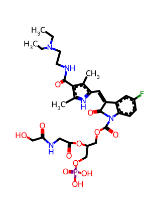 CCN(CC)CCNC(=O)c1c(C)[nH]c(/C=C2\C(=O)N(C(=O)OCC(COP(=O)(O)O)OC(=O)CNC(=O)CO)c3ccc(F)cc32)c1C